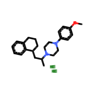 COc1ccc(N2CCN(C(C)CC3CCCc4ccccc43)CC2)cc1.Cl.Cl